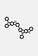 c1ccc(-n2c3ccccc3c3cc4c(cc32)oc2ccc(-c3ccc5c(c3)c3cc6c(cc3n5-c3ccccc3)sc3ccccc36)cc24)cc1